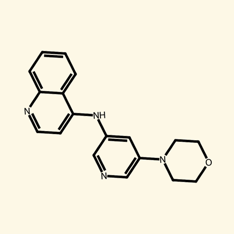 c1ccc2c(Nc3cncc(N4CCOCC4)c3)ccnc2c1